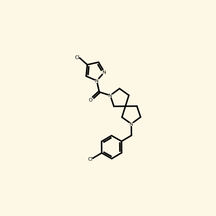 O=C(N1CCC2(CCN(Cc3ccc(Cl)cc3)C2)C1)n1cc(Cl)cn1